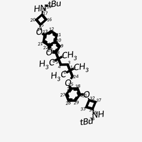 CC(C)(CCC(C)(C)c1cc2ccc(O[C@H]3C[C@H](NC(C)(C)C)C3)cc2o1)COc1cccc(O[C@H]2C[C@@H](NC(C)(C)C)C2)c1